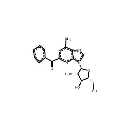 Nc1nc(C(=O)c2ccccc2)nc2c1ncn2[C@@H]1O[C@H](CO)[C@@H](O)[C@@H]1O